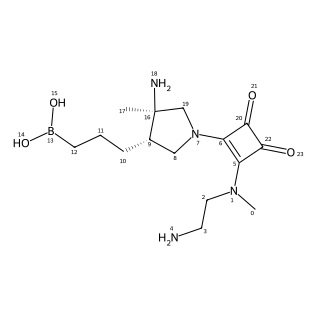 CN(CCN)c1c(N2C[C@H](CCCB(O)O)[C@@](C)(N)C2)c(=O)c1=O